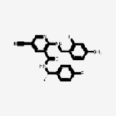 Bc1ccc(CNc2ncc(C#N)cc2C(=O)N[C@@H](C)c2ccc(F)cc2)c(F)c1